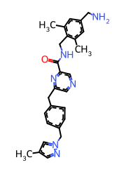 Cc1cnn(Cc2ccc(Cc3cncc(C(=O)NCc4c(C)cc(CN)cc4C)n3)cc2)c1